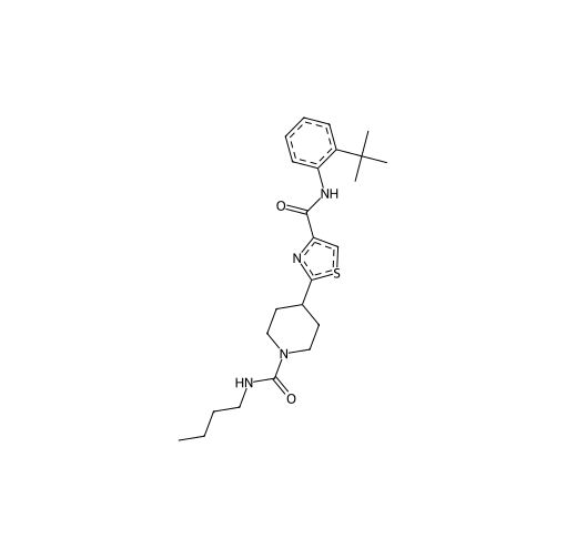 CCCCNC(=O)N1CCC(c2nc(C(=O)Nc3ccccc3C(C)(C)C)cs2)CC1